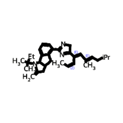 C=C1CC2Cc3c(C4=NCC(C(/C=C\C)=C/C(C)=C/CC(C)C)=N4)cccc3C2N1C(C)(C)CC